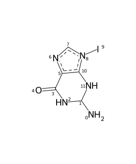 NC1NC(=O)c2ncn(I)c2N1